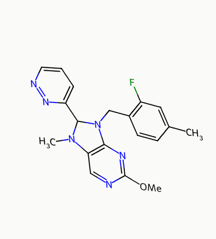 COc1ncc2c(n1)N(Cc1ccc(C)cc1F)C(c1cccnn1)N2C